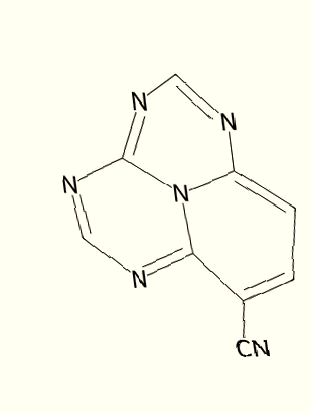 N#CC1=CC=C2N=CN=C3N=CN=C1N23